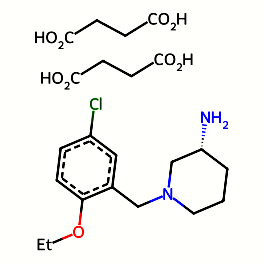 CCOc1ccc(Cl)cc1CN1CCC[C@@H](N)C1.O=C(O)CCC(=O)O.O=C(O)CCC(=O)O